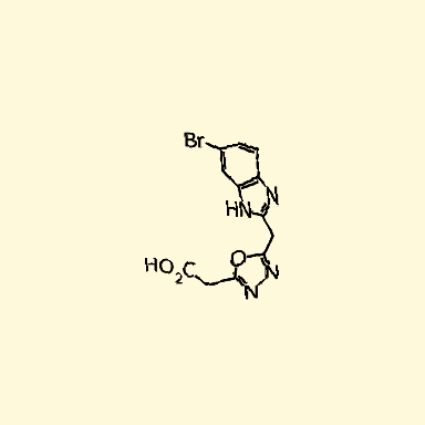 O=C(O)Cc1nnc(Cc2nc3ccc(Br)cc3[nH]2)o1